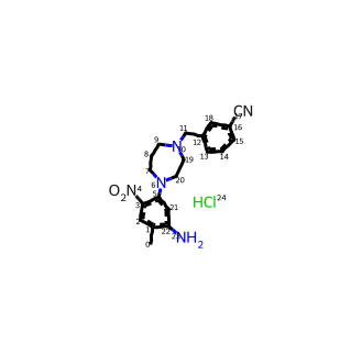 Cc1cc([N+](=O)[O-])c(N2CCCN(Cc3cccc(C#N)c3)CC2)cc1N.Cl